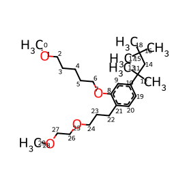 COCCCCCOc1cc(C(C)(C)CC(C)(C)C)ccc1CCCOCCOC